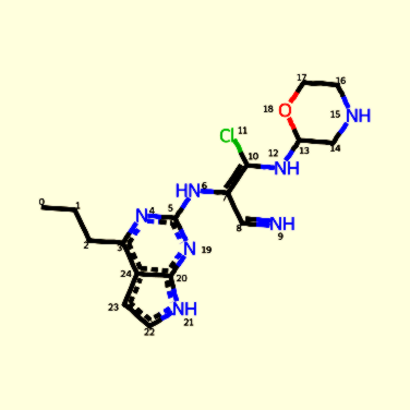 CCCc1nc(N/C(C=N)=C(\Cl)NC2CNCCO2)nc2[nH]ccc12